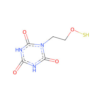 O=c1[nH]c(=O)n(CCOS)c(=O)[nH]1